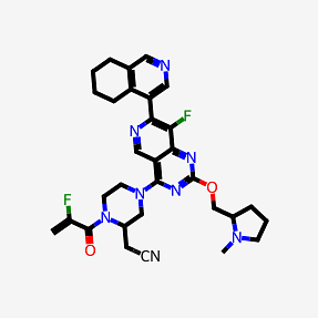 C=C(F)C(=O)N1CCN(c2nc(OCC3CCCN3C)nc3c(F)c(-c4cncc5c4CCCC5)ncc23)CC1CC#N